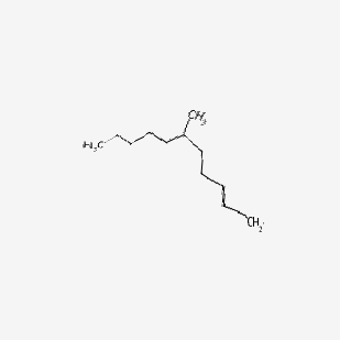 [CH2]CCCCC(C)CCCCC